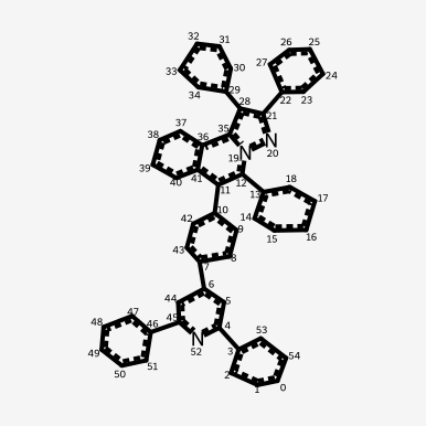 c1ccc(-c2cc(-c3ccc(-c4c(-c5ccccc5)n5nc(-c6ccccc6)c(-c6ccccc6)c5c5ccccc45)cc3)cc(-c3ccccc3)n2)cc1